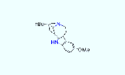 CCCCC1CC2c3[nH]c4ccc(OC)cc4c3CCN(C1)C2C